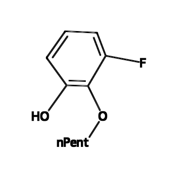 CCCCCOc1c(O)cccc1F